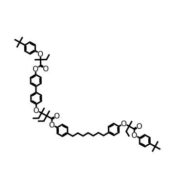 CCC(C)(Oc1ccc(CCCCCCCc2ccc(OC(=O)C(C)(CC)C(C)(CC)Oc3ccc(-c4ccc(OC(=O)C(C)(CC)Oc5ccc(C(C)(C)C)cc5)cc4)cc3)cc2)cc1)C(=O)Oc1ccc(C(C)(C)C)cc1